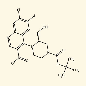 CC(C)(C)OC(=O)N1CCN(c2c([N+](=O)[O-])cnc3cc(Cl)c(I)cc23)[C@@H](CO)C1